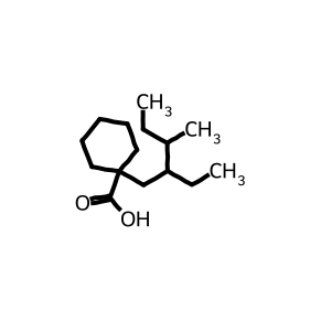 CCC(C)C(CC)CC1(C(=O)O)CCCCC1